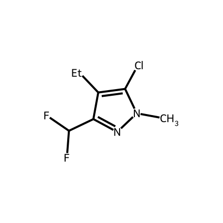 CCc1c(C(F)F)nn(C)c1Cl